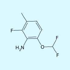 Cc1ccc(OC(F)F)c(N)c1F